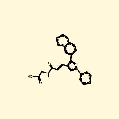 O=C(O)CNC(=O)/C=C/c1cn(-c2ccccc2)nc1-c1ccc2ccccc2c1